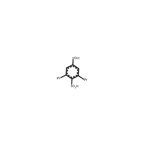 CCCCCCCCc1cc(C(C)C)c(S(=O)(=O)O)c(C(C)C)c1